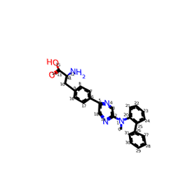 CN(c1cnc(-c2ccc(C[C@H](N)C(=O)O)cc2)cn1)c1ccccc1-c1ccccc1